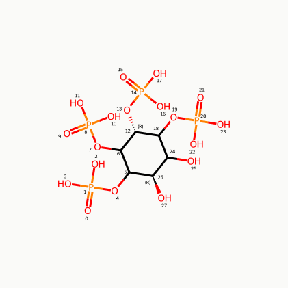 O=P(O)(O)OC1C(OP(=O)(O)O)[C@H](OP(=O)(O)O)C(OP(=O)(O)O)C(O)[C@H]1O